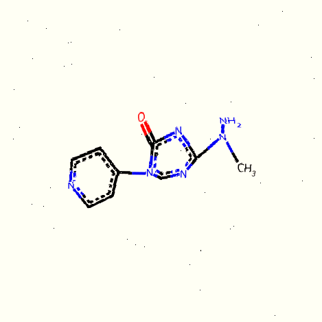 CN(N)c1ncn(-c2ccncc2)c(=O)n1